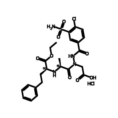 CCOC(=O)[C@H](CCc1ccccc1)N[C@@H](C)C(=O)N(CC(=O)O)NC(=O)c1ccc(Cl)c(S(N)(=O)=O)c1.Cl